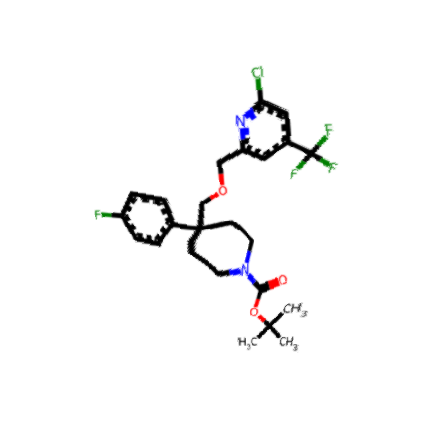 CC(C)(C)OC(=O)N1CCC(COCc2cc(C(F)(F)F)cc(Cl)n2)(c2ccc(F)cc2)CC1